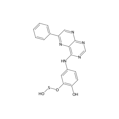 OSOc1cc(Nc2ncnc3ncc(-c4ccccc4)nc23)ccc1O